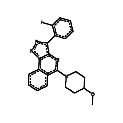 COC1CCN(c2nc3c(-c4ccccc4F)nnn3c3ccccc23)CC1